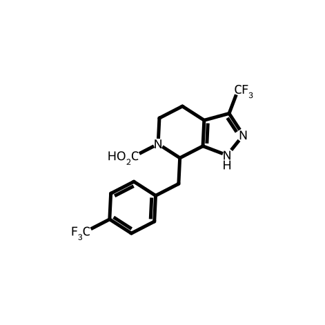 O=C(O)N1CCc2c(C(F)(F)F)n[nH]c2C1Cc1ccc(C(F)(F)F)cc1